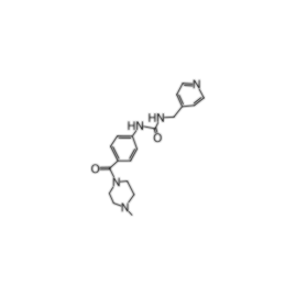 CN1CCN(C(=O)c2ccc(NC(=O)NCc3ccncc3)cc2)CC1